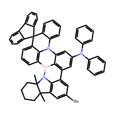 CC(C)(C)c1cc2c3c(c1)C1(C)CCCCC1(C)N3B1c3cccc4c3N(c3ccccc3C43c4ccccc4-c4ccccc43)c3cc(N(c4ccccc4)c4ccccc4)cc-2c31